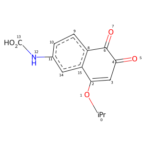 CC(C)OC1=CC(=O)C(=O)c2ccc(NC(=O)O)cc21